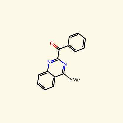 CSc1nc(C(=O)c2ccccc2)nc2ccccc12